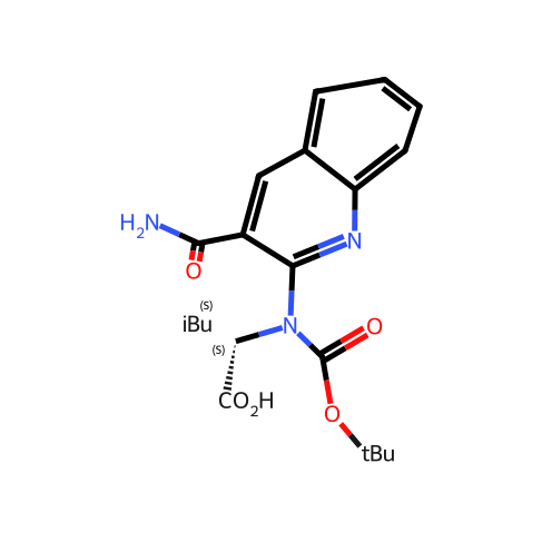 CC[C@H](C)[C@@H](C(=O)O)N(C(=O)OC(C)(C)C)c1nc2ccccc2cc1C(N)=O